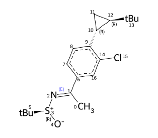 C/C(=N\[S@@+]([O-])C(C)(C)C)c1ccc([C@@H]2C[C@H]2C(C)(C)C)c(Cl)c1